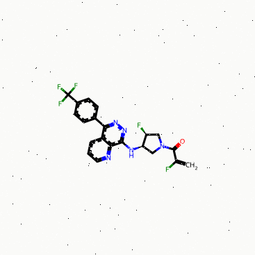 C=C(F)C(=O)N1C[C@H](F)[C@H](Nc2nnc(-c3ccc(C(F)(F)F)cc3)c3cccnc23)C1